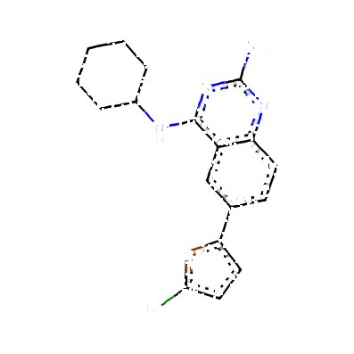 Nc1nc(NC2CCCCC2)c2cc(-c3ccc(Br)s3)ccc2n1